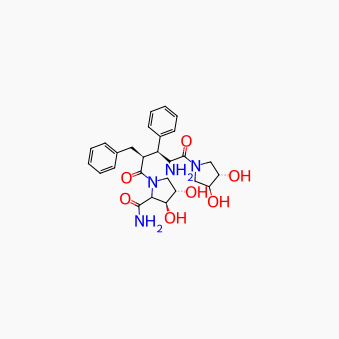 NC(=O)C1[C@H](O)[C@@H](O)CN1C(=O)[C@@H](Cc1ccccc1)[C@@H](c1ccccc1)C(N)C(=O)N1CC(O)[C@@H](O)C1